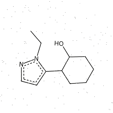 CCn1nccc1C1CCCCC1O